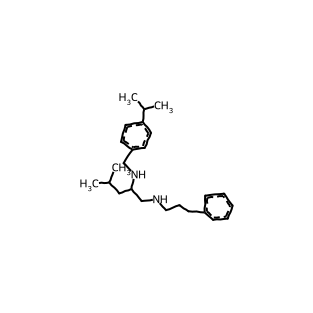 CC(C)CC(CNCCCc1ccccc1)NCc1ccc(C(C)C)cc1